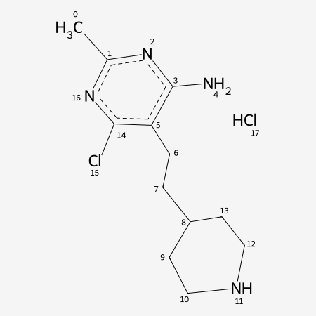 Cc1nc(N)c(CCC2CCNCC2)c(Cl)n1.Cl